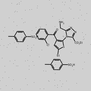 CCOC(=O)c1nnc(CN)n1-c1sc(CC)cc1C(=O)c1ccccc1Cl.Cc1ccc(S(=O)(=O)O)cc1.Cc1ccc(S(=O)(=O)O)cc1